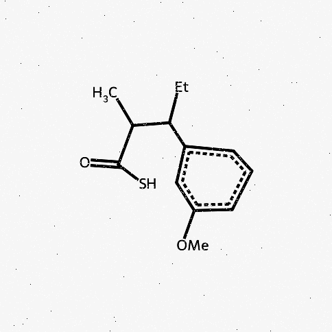 CCC(c1cccc(OC)c1)C(C)C(=O)S